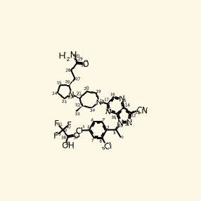 CC(c1ccc(Cl)cc1Cl)n1nc(C#N)c2ncc(N3CC[C@H](N4CCC[C@H]4CCC(N)=O)[C@H](C)C3)nc21.O=C(O)C(F)(F)F